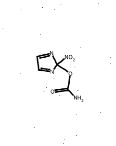 NC(=O)OC1([N+](=O)[O-])N=CC=N1